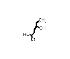 C=CC(O)=CCC(O)CC